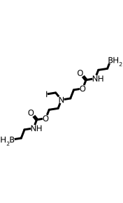 BCCNC(=O)OCCN(CI)CCOC(=O)NCCB